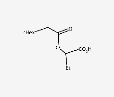 CCCCCCCC(=O)OC(CC)C(=O)O